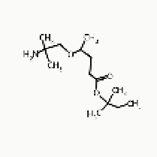 CCC(C)(C)OC(=O)CCC(C)OCC(C)(C)N